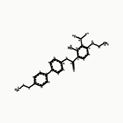 CCCc1ccc(-c2ccc(CC(=O)c3ccc(OCC)c(C(F)F)c3O)cc2)cc1